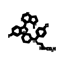 C[C@@H]1CCc2ncnc(N3C[C@]4(CCCN([C@@H](CCNC(=O)O)c5ccc(Cl)cc5)C4)c4cc(F)ccc43)c21